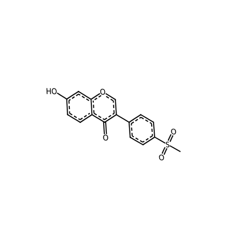 CS(=O)(=O)c1ccc(-c2coc3cc(O)ccc3c2=O)cc1